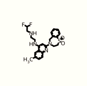 Cc1ccc2nc(N3CCS(=O)(=O)c4ccccc4C3)cc(NCCNCC(F)F)c2c1